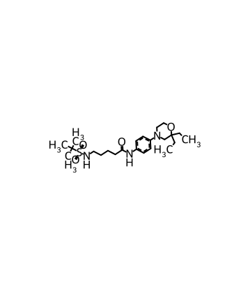 CCC1(CC)CN(c2ccc(NC(=O)CCCCNS(=O)(=O)C(C)(C)C)cc2)CCO1